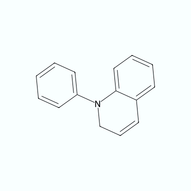 C1=Cc2ccccc2N(c2ccccc2)C1